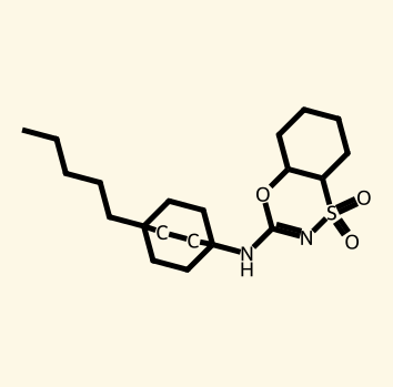 CCCCCC12CCC(NC3=NS(=O)(=O)C4CCCCC4O3)(CC1)CC2